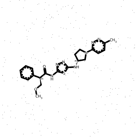 COC[C@H](C(=O)Nc1nnc(N[C@@H]2CCN(c3ccc(C)nn3)C2)s1)c1ccccc1